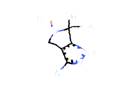 CC1(C)c2[nH]nc(N)c2CN1P